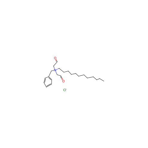 CCCCCCCCCCCC[N+](CC=O)(CC=O)Cc1ccccc1.[Cl-]